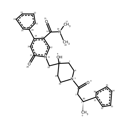 C[C@H](CC(=O)N1CCC(O)(Cn2cc(C(=O)N(C)C)c(-c3ccccc3)cc2=O)CC1)c1ccccc1